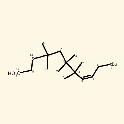 CC(C)(C)C/C=C\C(C)(C)C(C)(C)CC(C)(C)SCC(=O)O